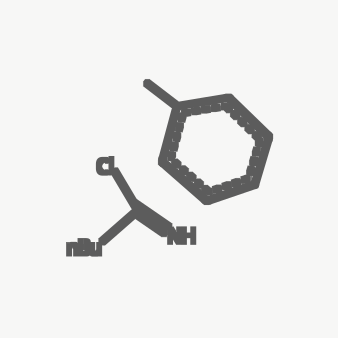 CCCCC(=N)Cl.Cc1ccccc1